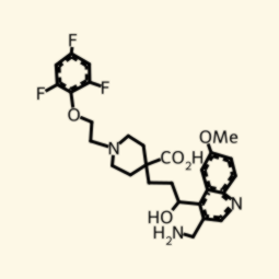 COc1ccc2ncc(CN)c(C(O)CCC3(C(=O)O)CCN(CCOc4c(F)cc(F)cc4F)CC3)c2c1